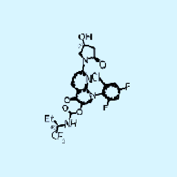 CC[C@@H](NC(=O)Oc1cn(-c2c(F)cc(F)cc2Cl)c2nc(N3C[C@@H](O)CC3=O)ccc2c1=O)C(F)(F)F